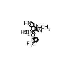 Cc1ncc(C(N)(C#N)COc2cccc(C(F)(F)F)n2)c(C2CCNCC2)n1.Cl